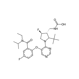 CCN(C(=O)c1cc(F)ccc1Oc1cncnc1N1C[C@@H](F)[C@H](CNC(=O)O)C1C(C)(C)C)C(C)C